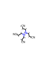 N#CCCN(CCC#N)N(CCC#N)CCC#N